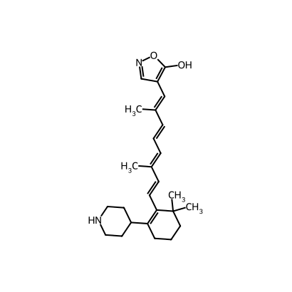 CC(/C=C/C1=C(C2CCNCC2)CCCC1(C)C)=C\C=C\C(C)=C\c1cnoc1O